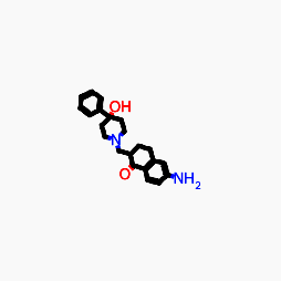 Nc1ccc2c(c1)CCC(CN1CCC(O)(c3ccccc3)CC1)C2=O